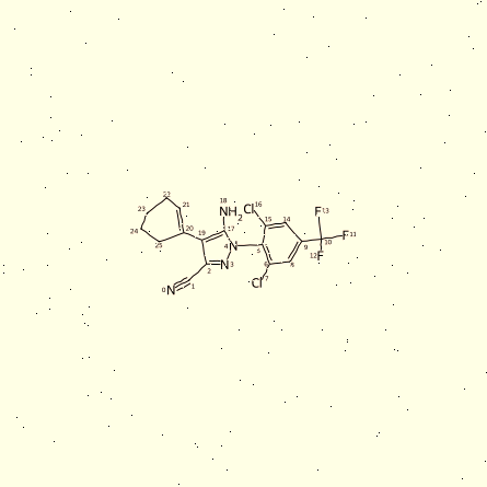 N#Cc1nn(-c2c(Cl)cc(C(F)(F)F)cc2Cl)c(N)c1C1=CCCCC1